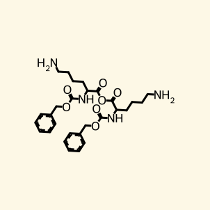 NCCCCC(NC(=O)OCc1ccccc1)C(=O)OC(=O)C(CCCCN)NC(=O)OCc1ccccc1